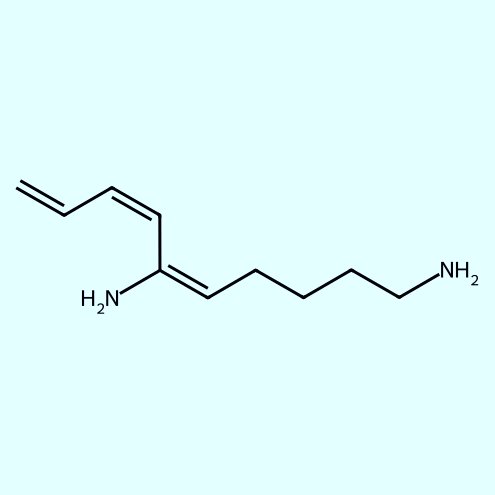 C=C/C=C\C(N)=C/CCCCN